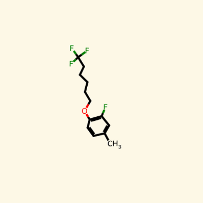 Cc1ccc(OCCCCCC(F)(F)F)c(F)c1